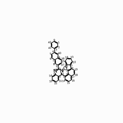 c1ccc(-c2ccc3cc(-c4nc(-c5cccc6ccc7c8ccccc8oc7c56)c5ccccc5n4)ccc3c2)cc1